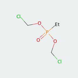 CCP(=O)(OCCl)OCCl